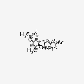 CC(=O)c1ccc2nc(Oc3ccc(OC(C)C4CC4)cc3C)ccc2c1